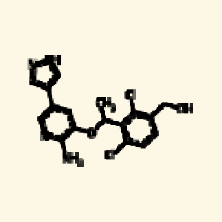 CC(Oc1cc(-c2cn[nH]c2)cnc1N)c1c(Cl)ccc(CO)c1Cl